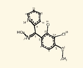 COc1ccc(/C(=N/O)c2ccccn2)c(Cl)c1Cl